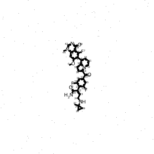 COc1cc2c(c(F)c1-c1cccn3c(C(=O)c4cc(F)c(C(=CCNC5(C)CC5)C(N)=O)c(F)c4)ccc13)c(=O)ncn2C